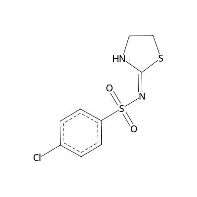 O=S(=O)(N=C1NCCS1)c1ccc(Cl)cc1